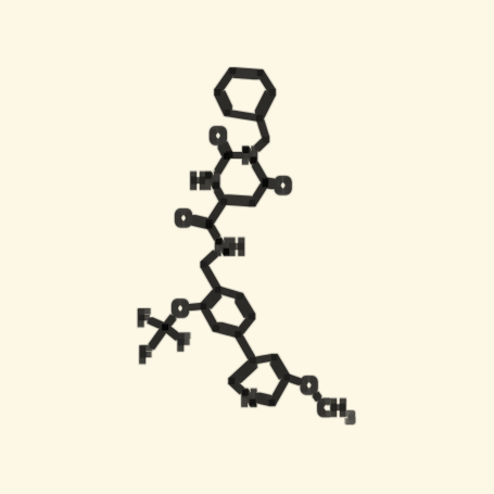 COc1cncc(-c2ccc(CNC(=O)c3cc(=O)n(Cc4ccccc4)c(=O)[nH]3)c(OC(F)(F)F)c2)c1